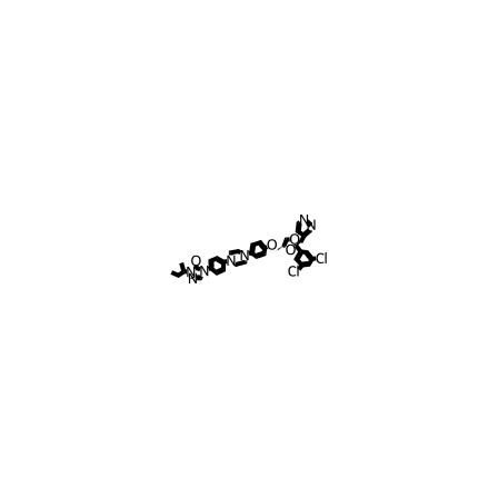 CCC(C)n1ncn(-c2ccc(N3CCN(c4ccc(OC[C@@H]5CO[C@](Cc6ccnnc6)(c6cc(Cl)cc(Cl)c6)O5)cc4)CC3)cc2)c1=O